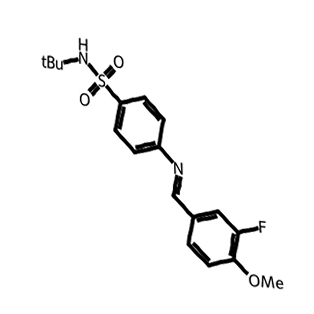 COc1ccc(/C=N/c2ccc(S(=O)(=O)NC(C)(C)C)cc2)cc1F